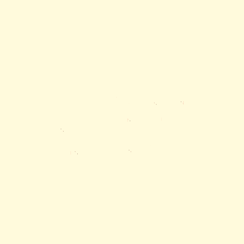 C=N/C=C1/C=C(NC(=O)c2cccc(N(C)C)[n+]2O)C(N(C)C)=CC1=N